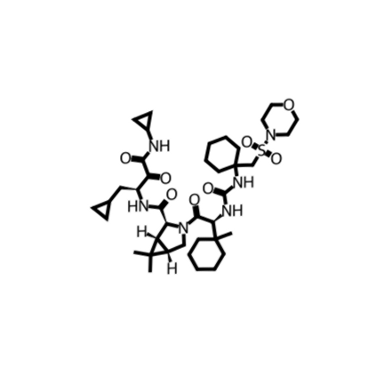 CC1([C@H](NC(=O)NC2(CS(=O)(=O)N3CCOCC3)CCCCC2)C(=O)N2C[C@H]3[C@@H]([C@H]2C(=O)N[C@@H](CC2CC2)C(=O)C(=O)NC2CC2)C3(C)C)CCCCC1